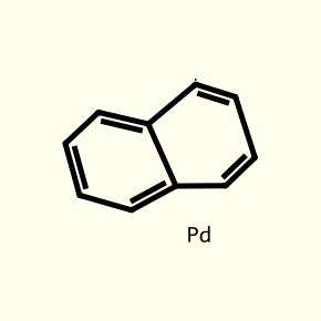 [Pd].[c]1cccc2ccccc12